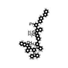 CC(C)c1cc(-c2ccc3cc(-c4ccc5ccccc5c4)ccc3c2)cc(-c2cc3c(c4ccccc24)-c2cc4ccc(-c5ccc6c(c5)c5ccccc5n6-c5cc(-c6cc7c(c8ccccc68)-c6cc8ccccc8cc6C7(C)C)cc(-n6c7ccccc7c7ccccc76)c5)cc4cc2C3(C)C)c1